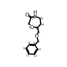 O=C1COC(COCc2ccccc2)CCN1